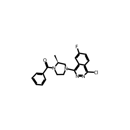 C[C@H]1CN(c2nnc(Cl)c3ccc(F)cc23)CCN1C(=O)c1ccccc1